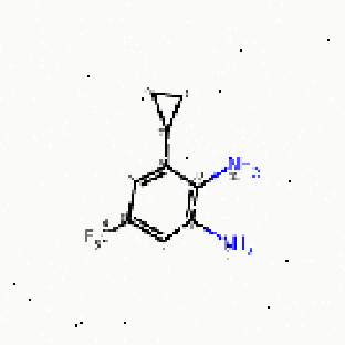 Nc1cc(C(F)(F)F)cc(C2CC2)c1N